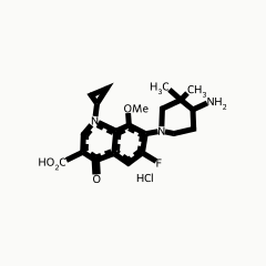 COc1c(N2CCC(N)C(C)(C)C2)c(F)cc2c(=O)c(C(=O)O)cn(C3CC3)c12.Cl